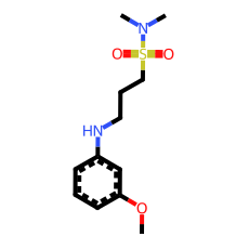 COc1cccc(NCCCS(=O)(=O)N(C)C)c1